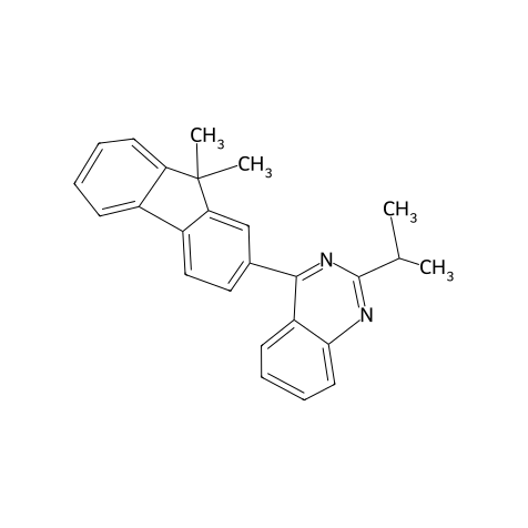 CC(C)c1nc(-c2ccc3c(c2)C(C)(C)c2ccccc2-3)c2ccccc2n1